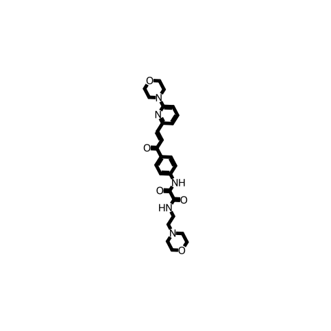 O=C(NCCN1CCOCC1)C(=O)Nc1ccc(C(=O)C=Cc2cccc(N3CCOCC3)n2)cc1